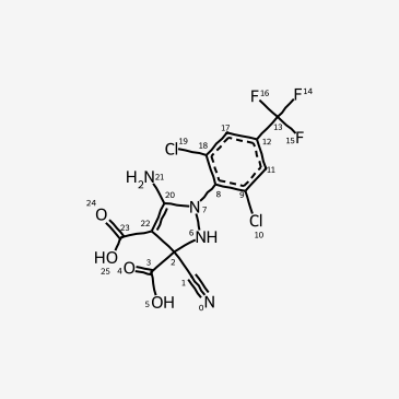 N#CC1(C(=O)O)NN(c2c(Cl)cc(C(F)(F)F)cc2Cl)C(N)=C1C(=O)O